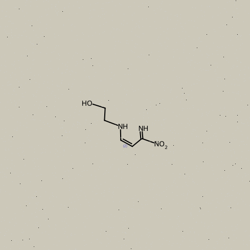 N=C(/C=C\NCCO)[N+](=O)[O-]